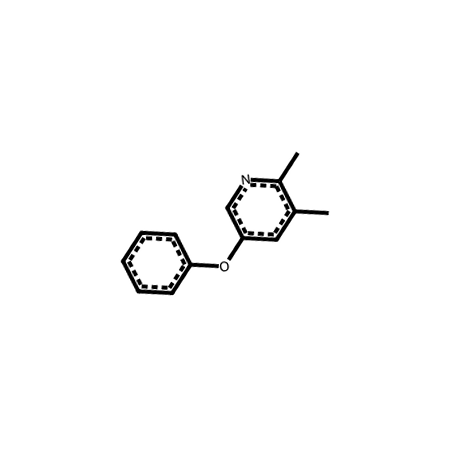 Cc1cc(Oc2ccccc2)cnc1C